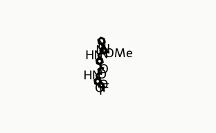 COc1nc(Nc2ccc(C(=O)CC(=O)Nc3ccc4c(c3)OC(F)(F)O4)cc2)nc(N2CCCCC2)n1